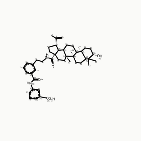 C=C(C)[C@@H]1CC[C@]2(C(=O)NCCc3cccc(C(=O)Nc4cccc(C(=O)O)c4)c3)CC[C@]3(C)C(CCC4[C@@]5(C)CC[C@H](O)C(C)(C)C5CC[C@]43C)C12